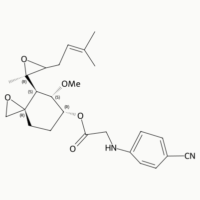 CO[C@@H]1[C@H](OC(=O)CNc2ccc(C#N)cc2)CC[C@]2(CO2)[C@H]1[C@@]1(C)OC1CC=C(C)C